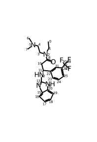 CCN(CCN(C)C)C(=O)CC(Nc1nc2ccccc2[nH]1)c1cccc(C(F)(F)F)c1